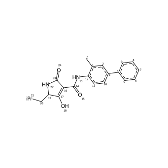 Cc1cc(-c2ccccc2)ccc1NC(=O)C1=C(O)C(CC(C)C)NC1=O